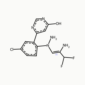 N/C(=C\N(N)c1ccc(Cl)cc1-c1cc(O)ncn1)C(F)F